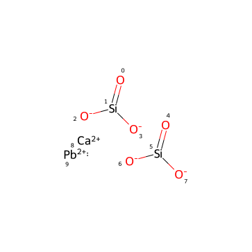 O=[Si]([O-])[O-].O=[Si]([O-])[O-].[Ca+2].[Pb+2]